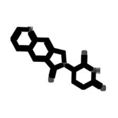 O=C1CCC(N2Cc3cc4ncccc4cc3C2=O)C(=O)N1